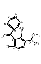 CC[C@@H](N)c1ccc(Cl)c(C(=O)c2ccncc2)c1F